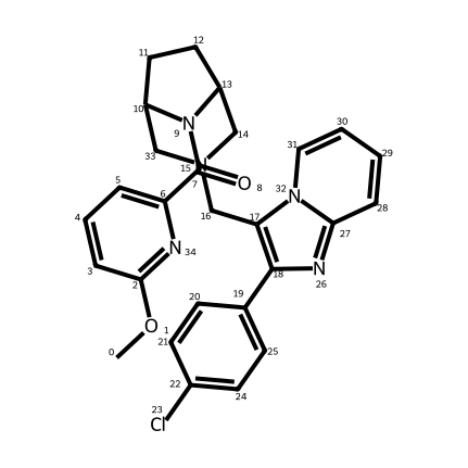 COc1cccc(C(=O)N2C3CCC2CN(Cc2c(-c4ccc(Cl)cc4)nc4ccccn24)C3)n1